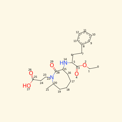 CCOC(=O)C(CCc1ccccc1)NC1CCCCC(C)N(CCC(=O)O)C1=O